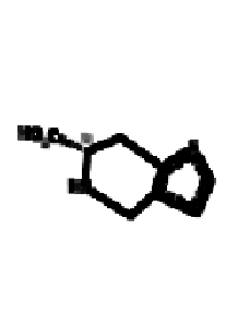 O=C(O)[C@@H]1Cc2sccc2CN1